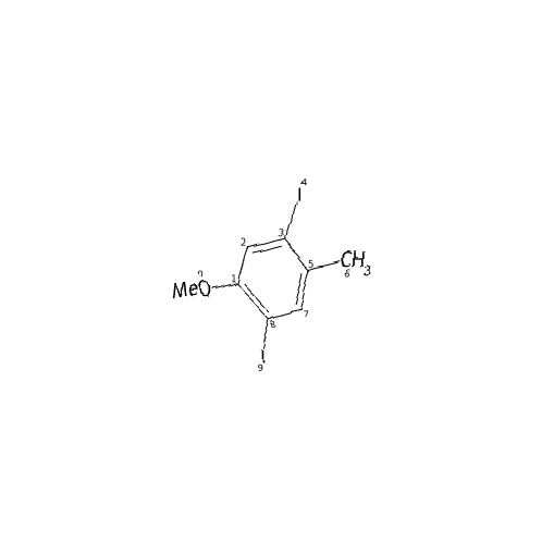 COc1cc(I)c(C)cc1I